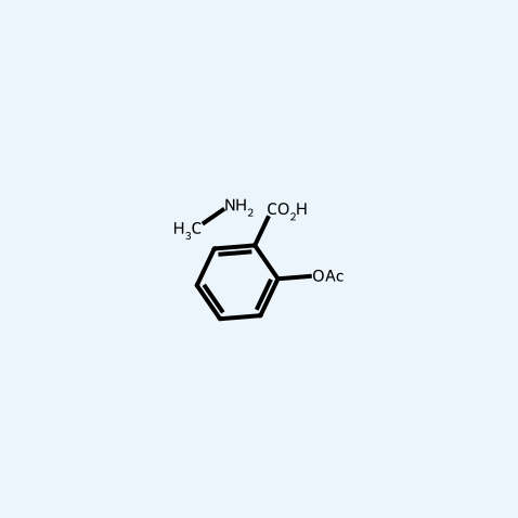 CC(=O)Oc1ccccc1C(=O)O.CN